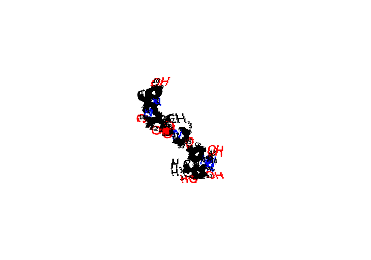 CCc1c2c(nc3ccc(O)cc13)-c1cc3c(c(=O)n1C2)COC(=O)[C@@]3(CC)OC(=O)N1CCC(OCc2ccc(-n3c(O)nnc3-c3cc(C(C)C)c(O)cc3O)cc2)CC1